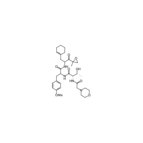 COc1ccc(CC(NC(=O)[C@@H](NC(=O)CN2CCOCC2)[C@@H](C)O)C(=O)NC(CC2=CCCCC2)C(=O)C2(C)CO2)cc1